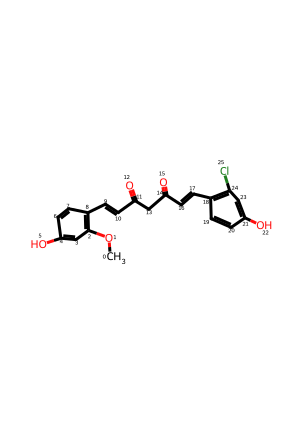 COc1cc(O)ccc1/C=C/C(=O)CC(=O)/C=C/c1ccc(O)cc1Cl